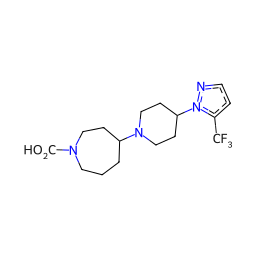 O=C(O)N1CCCC(N2CCC(n3nccc3C(F)(F)F)CC2)CC1